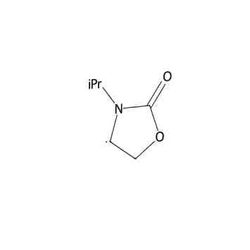 CC(C)N1[CH]COC1=O